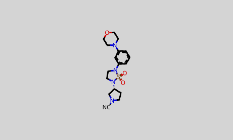 N#CN1CC[C@@H](N2CCN(c3cccc(N4CCOCC4)c3)S2(=O)=O)C1